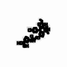 CCC(=O)N[C@@H]1N=C(c2ccc(Cl)cc2)c2cc(OCCC(=O)Nc3cccc(B(O)O)c3)ccc2-n2c(C)nnc21